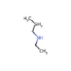 CCN[CH][SiH2]C